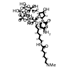 CNCCCCCC(=O)NCCCCCCOP(=O)(O)OP(=O)(O)OP(=O)(O)OP(=O)(O)OP(=O)(O)OP(=O)(O)OC[C@H]1O[C@@H](n2ccc(N)nc2=O)CC1O